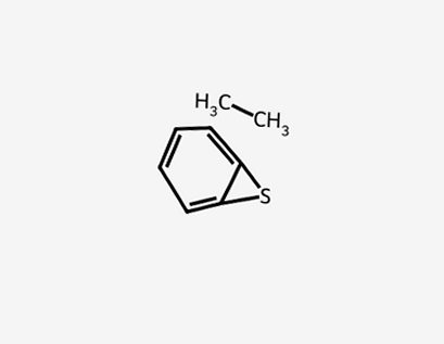 CC.c1ccc2c(c1)S2